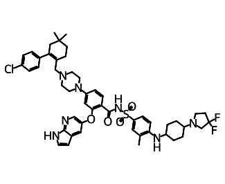 Cc1cc(S(=O)(=O)NC(=O)c2ccc(N3CCN(CC4=C(c5ccc(Cl)cc5)CC(C)(C)CC4)CC3)cc2Oc2cnc3[nH]ccc3c2)ccc1NC1CCC(N2CCC(F)(F)C2)CC1